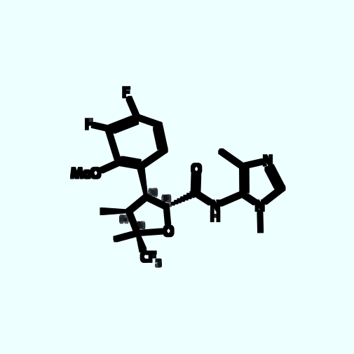 COc1c([C@H]2[C@H](C(=O)Nc3c(C)ncn3C)O[C@@](C)(C(F)(F)F)[C@H]2C)ccc(F)c1F